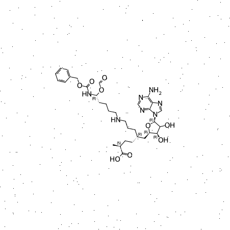 C[C@@H](CC[C@H](CCCNCCCC[C@H](NC(=O)OCc1ccccc1)OC=O)C[C@H]1O[C@@H](n2cnc3c(N)ncnc32)C(O)[C@H]1O)C(=O)O